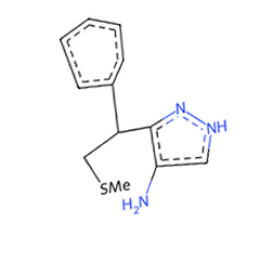 CSCC(c1ccccc1)c1n[nH]cc1N